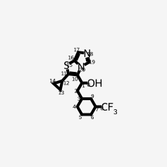 OC(CC1CCCC(C(F)(F)F)C1)c1c(C2CC2)sc2cncn12